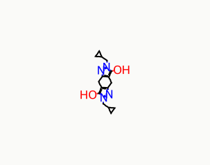 Oc1c2c(nn1CC1CC1)Cc1c(nn(CC3CC3)c1O)C2